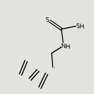 C=C.C=C.C=C.[CH2]CNC(=S)S